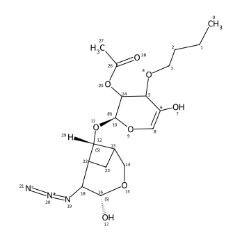 CCCCOC1C(O)=CO[C@@H](O[C@@H]2C3CO[C@H](O)C(N=[N+]=[N-])C2C3)C1OC(C)=O